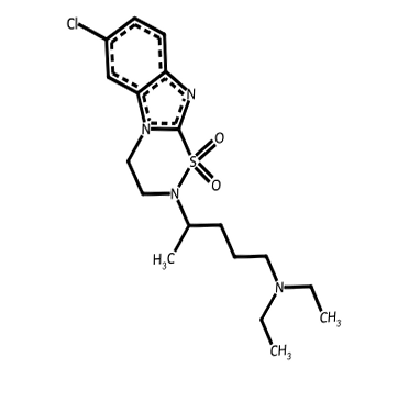 CCN(CC)CCCC(C)N1CCn2c(nc3ccc(Cl)cc32)S1(=O)=O